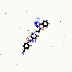 N#Cc1ccc(C(=O)NC2CCN(CCCOc3ccccc3-c3nnn[nH]3)CC2)cc1